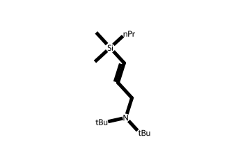 CCC[Si](C)(C)C=CCN(C(C)(C)C)C(C)(C)C